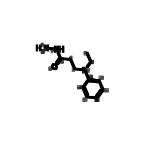 CCN(CCC(=O)NN)c1ccccc1